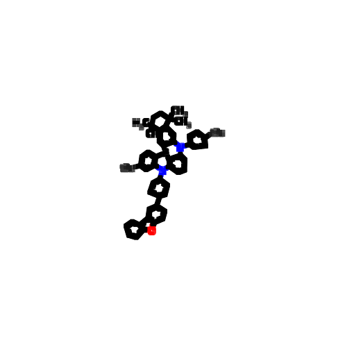 CC(C)(C)c1ccc(N2c3cc4c(cc3B3c5ccc(C(C)(C)C)cc5N(c5ccc(-c6ccc7oc8ccccc8c7c6)cc5)c5cccc2c53)C(C)(C)CCC4(C)C)cc1